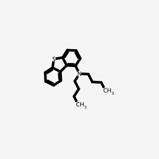 CCCCN(CCCC)c1cccc2sc3ccccc3c12